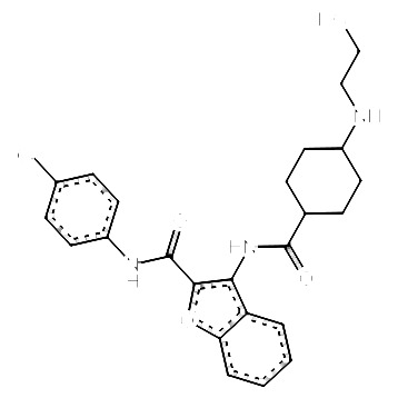 O=C(Nc1ccc(Cl)cc1)c1oc2ccccc2c1NC(=O)C1CCC(NCCO)CC1